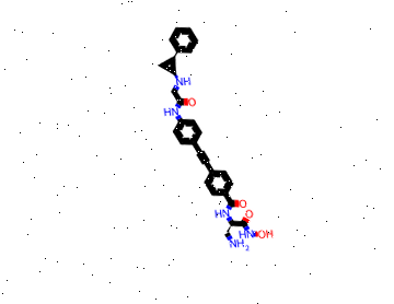 NC[C@H](NC(=O)c1ccc(C#Cc2ccc(NC(=O)CN[C@H]3C[C@@H]3c3ccccc3)cc2)cc1)C(=O)NO